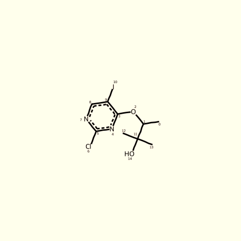 CC(Oc1nc(Cl)ncc1I)C(C)(C)O